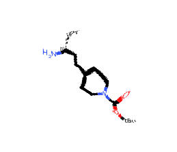 CC(C)[C@@H](N)CCC1CCN(C(=O)OC(C)(C)C)CC1